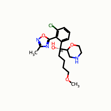 COCCCC[C@@](O)(c1cccc(Cl)c1-c1nc(C)no1)C1CNCCO1